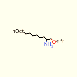 [CH2]CCOCC(N)CCCCCCCCCCCCCC